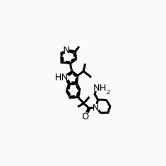 Cc1cc(-c2[nH]c3ccc(C(C)(C)C(=O)N4CCCCC4CN)cc3c2C(C)C)ccn1